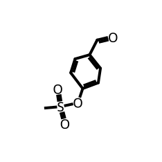 CS(=O)(=O)Oc1ccc(C=O)cc1